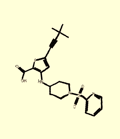 CC(C)(C)C#Cc1cc(NC2CCN(S(=O)(=O)c3ccccn3)CC2)c(C(=O)O)s1